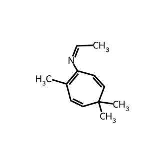 C/C=N\C1=C(C)C=CC(C)(C)C=C1